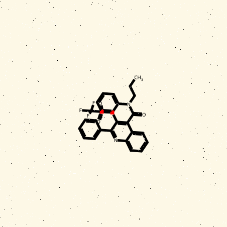 CCCN(C(=O)c1c(OS(=O)(=O)C(F)(F)F)c(-c2ccccc2)nc2ccccc12)c1ccccc1